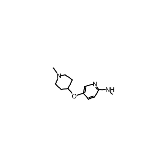 CNc1ccc(OC2CCN(C)CC2)cn1